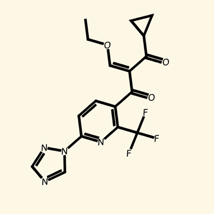 CCO/C=C(/C(=O)c1ccc(-n2cncn2)nc1C(F)(F)F)C(=O)C1CC1